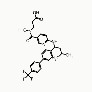 CC(C)CC(Nc1ccc(C(=O)N(C)CCC(=O)O)cn1)c1ccc(-c2ccc(C(F)(F)F)cc2)cc1